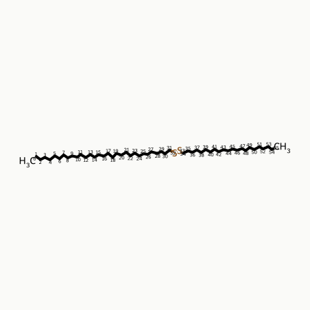 CCCCCCCCCCCCCCCCCCCCCCCCCCCCCCCCSSCCCCCCCCCCCCCCCCCCCCCC